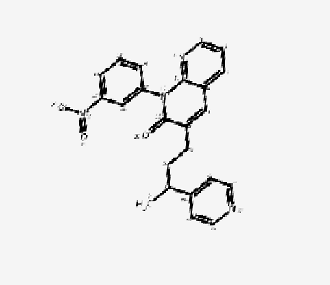 CC(CCc1cc2cccnc2n(-c2cccc([N+](=O)[O-])c2)c1=O)c1ccncc1